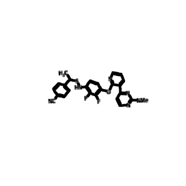 CNc1nccc(-c2cccnc2Oc2ccc(NSC(C)c3ccc(C#N)cc3)c(F)c2F)n1